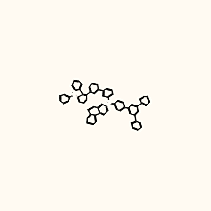 c1ccc(-c2cc(-c3ccccc3)cc(-c3ccc(N(c4cccc(-c5cccc(-c6cccc7c6c6ccccc6n7-c6ccccc6)c5)c4)c4ccc5c(ccc6ccccc65)c4)cc3)c2)cc1